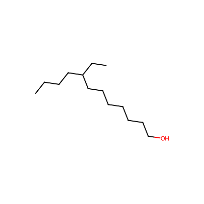 CCCCC(CC)CCCCCCCO